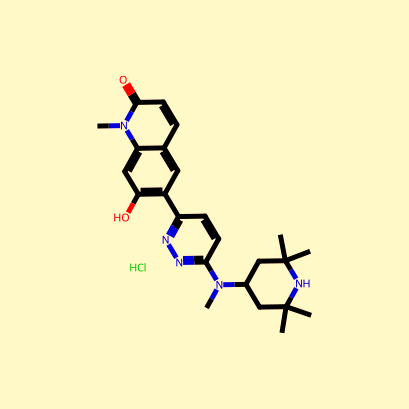 CN(c1ccc(-c2cc3ccc(=O)n(C)c3cc2O)nn1)C1CC(C)(C)NC(C)(C)C1.Cl